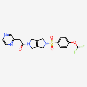 O=C(Cc1cnccn1)N1CC2=C(C1)CN(S(=O)(=O)c1ccc(OC(F)F)cc1)C2